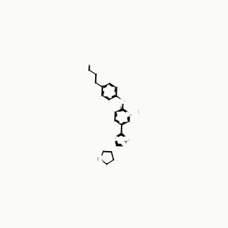 CCCCc1ccc(Nc2ccc(-c3noc([C@@H]4CCNC4)n3)cn2)cc1.Cl